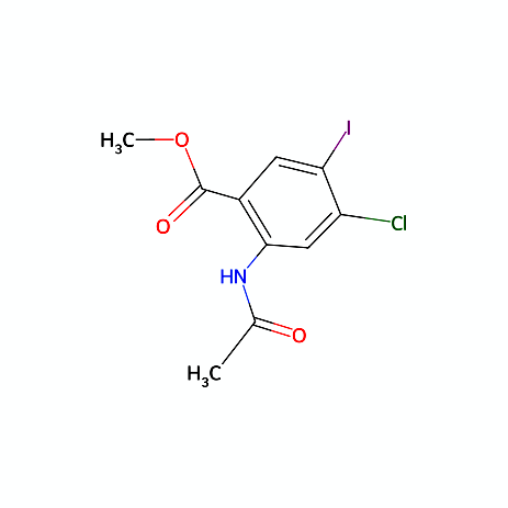 COC(=O)c1cc(I)c(Cl)cc1NC(C)=O